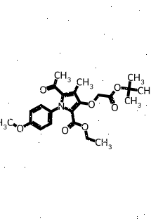 CCOC(=O)c1c(OCC(=O)OC(C)(C)C)c(C)c(C(C)=O)n1-c1ccc(OC)cc1